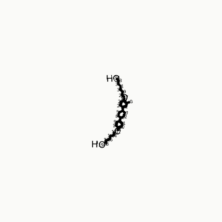 Cc1cc(C2CCC(c3ccc(OCCCCCCO)cc3)CC2)ccc1OCCCCCCO